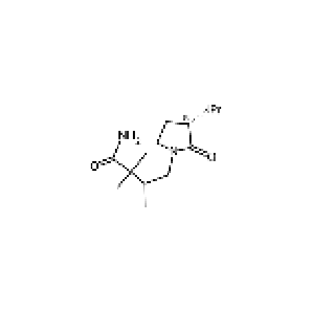 CC(C)[C@H]1CCN(CC(C)C(C)(C)C(N)=O)C1=O